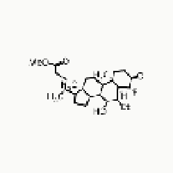 CC[C@@H]1[C@@H]2[C@@H](F)C(=O)CC[C@]2(C)C2CC[C@@]3(C)C(CCC3[C@H](C)CCC(=O)OC)C2[C@@H]1O